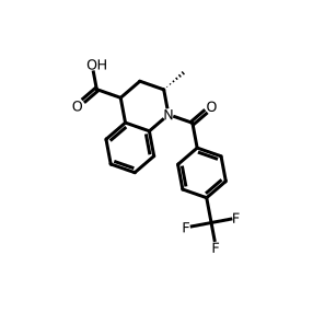 C[C@H]1CC(C(=O)O)c2ccccc2N1C(=O)c1ccc(C(F)(F)F)cc1